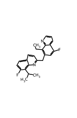 CCc1c(Cc2ccc3ccc(F)c(C(C)C)c3n2)cc(F)c2cccnc12